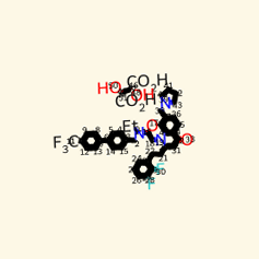 CCN(Cc1ccc(-c2ccc(C(F)(F)F)cc2)cc1)C(=O)Cn1c(CCc2cccc(F)c2F)cc(=O)c2ccc(CN3CCCC3)cc21.O=C(O)C(O)C(O)C(=O)O